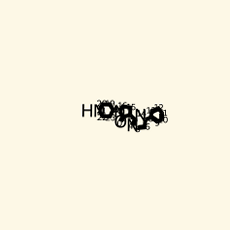 O=C1C(c2nccc(-c3ccccc3)n2)CCN1C1CCNCC1